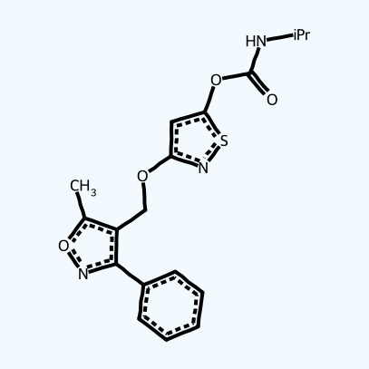 Cc1onc(-c2ccccc2)c1COc1cc(OC(=O)NC(C)C)sn1